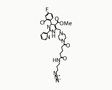 COC(=O)C1=C(CN2CCN(C(=O)CCCC(=O)NCCCN=[N+]=[N-])CC2)NC(c2ccccn2)=NC1c1ccc(F)cc1Cl